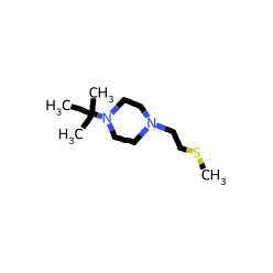 CSCCN1CCN(C(C)(C)C)CC1